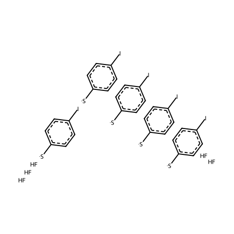 F.F.F.F.F.[S]c1ccc(I)cc1.[S]c1ccc(I)cc1.[S]c1ccc(I)cc1.[S]c1ccc(I)cc1.[S]c1ccc(I)cc1